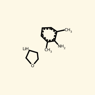 C1CCOC1.Cc1cccc(C)c1N.[LiH]